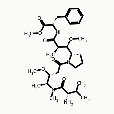 COC(=O)[C@H](Cc1ccccc1)NC(=O)[C@H](C)[C@@H](OC)[C@@H]1CCCN1C(=O)C[C@@H](OC)[C@H](C)N(C)C(=O)[C@@H](N)C(C)C